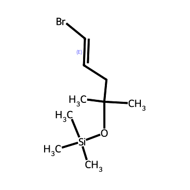 CC(C)(C/C=C/Br)O[Si](C)(C)C